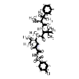 CN[C@H](C(=O)NC(C(=O)N(C)[C@H](/C=C(\C)C(=O)NS(=O)(=O)c1ccc(Cl)cc1)C(C)C)C(C)(C)C)C(C)(C)c1ccccc1